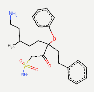 CC(CCN)CCC(CCc1ccccc1)(Oc1ccccc1)C(=O)CS([NH])(=O)=O